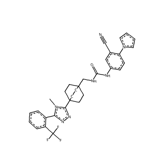 Cn1c(-c2ccccc2C(F)(F)F)nnc1C12CCC(CNC(=O)Nc3ccc(-n4cccc4)c(C#N)c3)(CC1)CC2